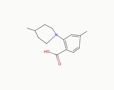 Cc1ccc(C(=O)O)c(N2CCC(C)CC2)c1